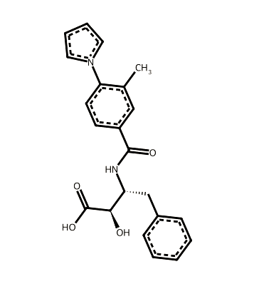 Cc1cc(C(=O)N[C@H](Cc2ccccc2)[C@@H](O)C(=O)O)ccc1-n1cccc1